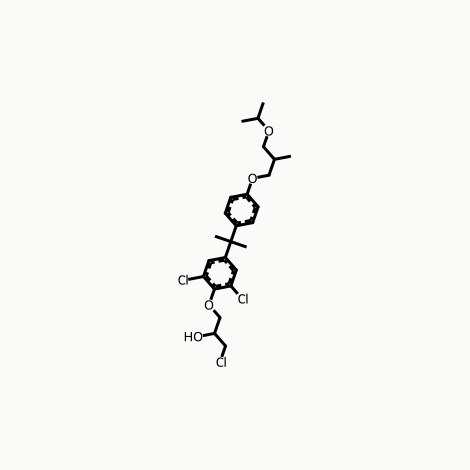 CC(COc1ccc(C(C)(C)c2cc(Cl)c(OCC(O)CCl)c(Cl)c2)cc1)COC(C)C